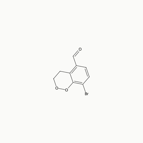 O=Cc1ccc(Br)c2c1CCOO2